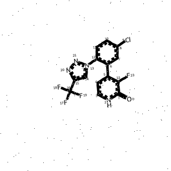 O=c1[nH]ccc(-c2cc(Cl)ccc2-n2cc(C(F)(F)F)nn2)c1F